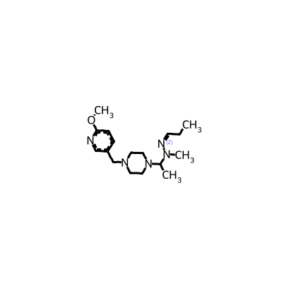 CC/C=N\N(C)C(C)N1CCN(Cc2ccc(OC)nc2)CC1